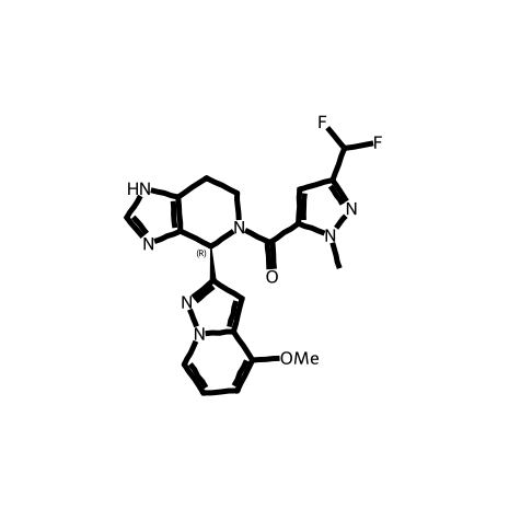 COc1cccn2nc([C@H]3c4nc[nH]c4CCN3C(=O)c3cc(C(F)F)nn3C)cc12